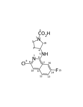 O=C(O)N1CCC(Nc2nc(Cl)cc3ccc(F)cc23)C1